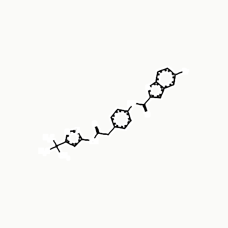 CC(C)(C)c1cc(NC(=O)Cc2ccc(NC(=O)c3cc4cc(Br)ccc4s3)cc2)no1